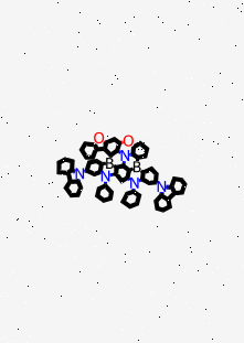 c1ccc(N2c3cc(-n4c5ccccc5c5ccccc54)ccc3B3c4cccc5c4N4c6c3c2cc2c6B(c3ccc(-n6c7ccccc7c7ccccc76)cc3N2c2ccccc2)c2c4c(cc3oc4ccccc4c23)O5)cc1